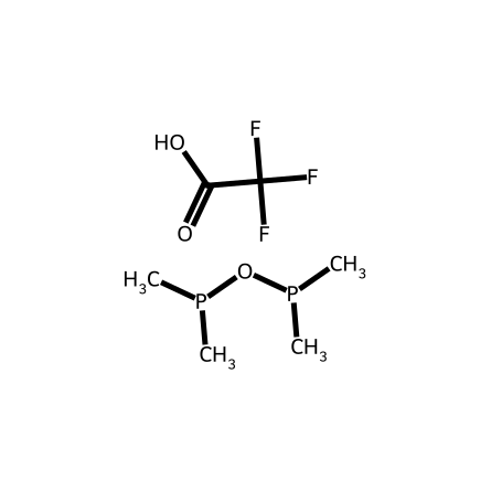 CP(C)OP(C)C.O=C(O)C(F)(F)F